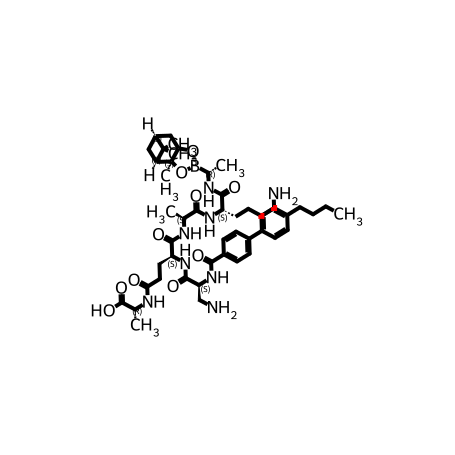 CCCCc1ccc(-c2ccc(C(=O)N[C@@H](CN)C(=O)N[C@@H](CCC(=O)N[C@H](C)C(=O)O)C(=O)N[C@@H](C)C(=O)N[C@@H](CCCCN)C(=O)N[C@@H](C)B3OC4C[C@@H]5C[C@@H](C5(C)C)[C@]4(C)O3)cc2)cc1